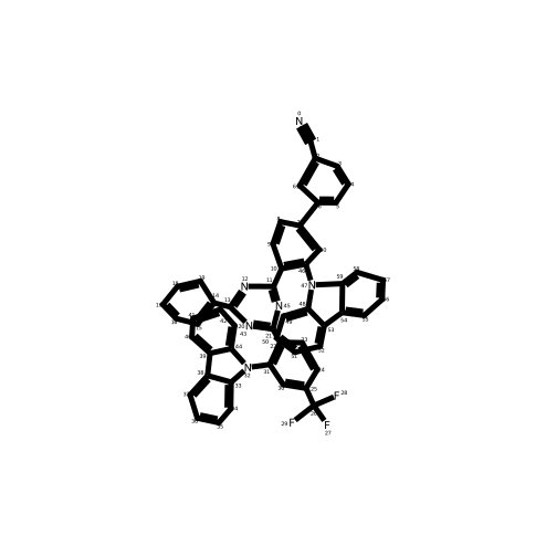 N#Cc1cccc(-c2ccc(-c3nc(-c4ccccc4)nc(-c4ccc(C(F)(F)F)cc4-n4c5ccccc5c5ccccc54)n3)c(-n3c4ccccc4c4ccccc43)c2)c1